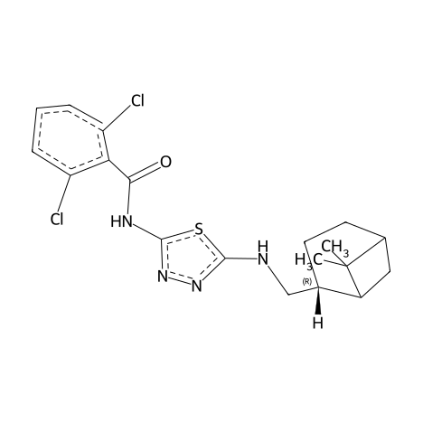 CC1(C)C2CC[C@@H](CNc3nnc(NC(=O)c4c(Cl)cccc4Cl)s3)C1C2